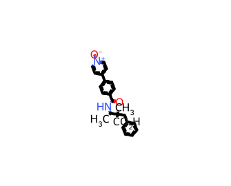 CC(NC(=O)c1ccc(-c2cc[n+]([O-])cc2)cc1)C(C)(Cc1ccccc1)C(=O)O